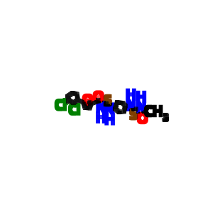 CC(=O)NC(=S)Nc1ccc(NC(=S)NC(=O)c2ccc(-c3cccc(Cl)c3Cl)o2)cc1